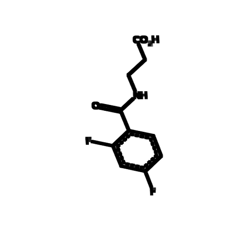 O=C(O)CCNC(=O)c1ccc(F)cc1F